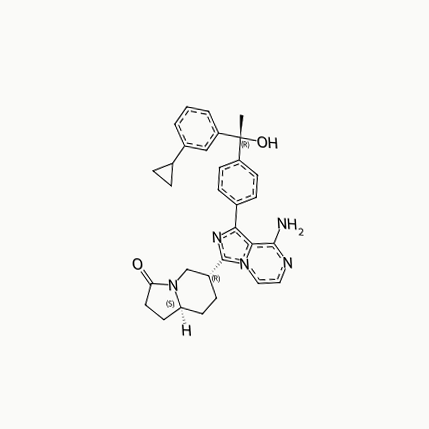 C[C@@](O)(c1ccc(-c2nc([C@@H]3CC[C@H]4CCC(=O)N4C3)n3ccnc(N)c23)cc1)c1cccc(C2CC2)c1